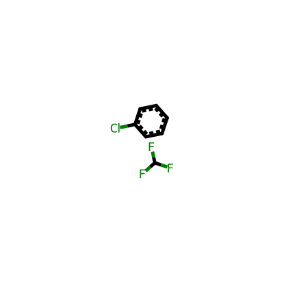 Clc1ccccc1.FC(F)F